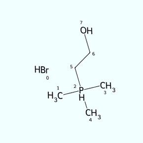 Br.C[PH](C)(C)CCO